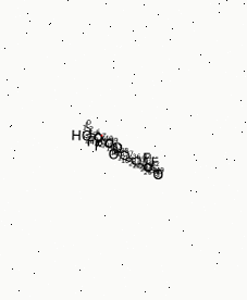 CCCC(O)c1ccc(-c2ccc(OC(=O)C3CCC(C4CCC(c5ccc(C6CO6)c(F)c5F)CC4)CC3)cc2)c(F)c1F